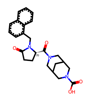 O=C(O)N1CC2CC(C1)CN(C(=O)[C@@H]1CCC(=O)N1Cc1cccc3ccccc13)C2